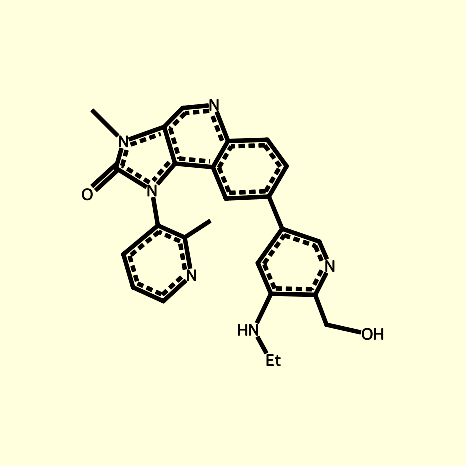 CCNc1cc(-c2ccc3ncc4c(c3c2)n(-c2cccnc2C)c(=O)n4C)cnc1CO